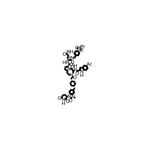 CC(=O)c1ccc2[nH]c(C(=O)N[C@H]3CN(C(=O)C[C@H]4CC[C@@H](Cc5ccc6c(c5)n(C)c(=O)n6C5CCC(=O)NC5=O)CC4)C/C=C4/CC[C@@H](C(=O)N[C@@H](CCC(N)=O)C(=O)NCc5ccc(S(=O)(=O)C(C)C)cc5)N4C3=O)cc2c1